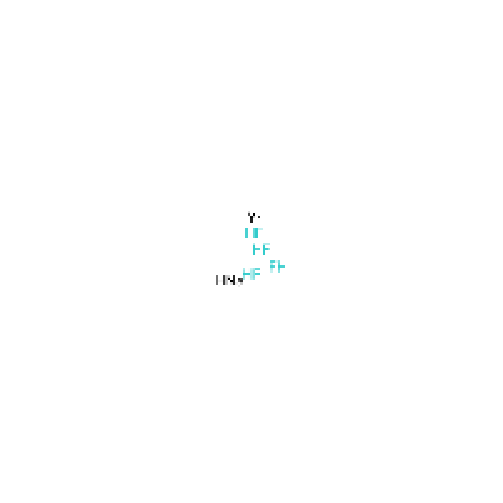 F.F.F.F.[NaH].[Y]